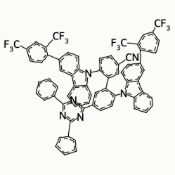 N#Cc1ccc(-n2c3ccccc3c3cc(-c4ccc(C(F)(F)F)cc4C(F)(F)F)ccc32)c(-c2cc(-c3nc(-c4ccccc4)nc(-c4ccccc4)n3)ccc2-n2c3ccccc3c3cc(-c4ccc(C(F)(F)F)cc4C(F)(F)F)ccc32)c1